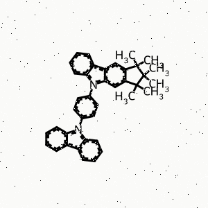 CC1(C)c2cc3c4ccccc4n(-c4ccc(-n5c6ccccc6c6ccccc65)cc4)c3cc2C(C)(C)C1(C)C